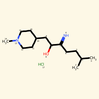 CC(C)CCC(=N)C(O)CC1CCN(C)CC1.Cl